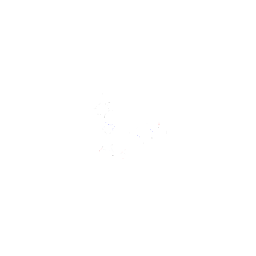 CC(=O)N1CCN(COCc2ccn(-c3ccc(F)c(F)c3)n2)CC1.O=C(O)/C=C/C(=O)O